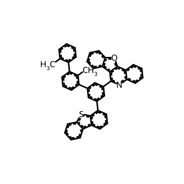 Cc1ccccc1-c1cccc(-c2cc(-c3cccc4c3sc3ccccc34)cc(-c3nc4ccccc4c4oc5ccccc5c34)c2)c1C